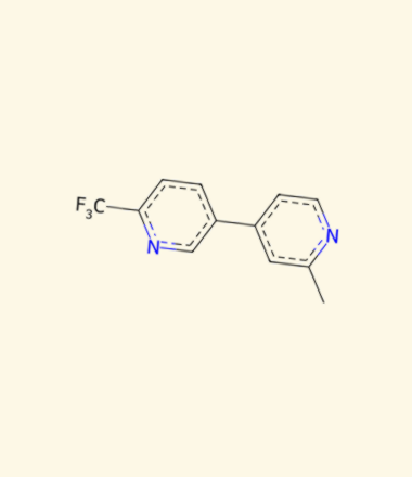 Cc1cc(-c2ccc(C(F)(F)F)nc2)ccn1